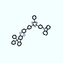 c1ccc(-c2nc(-c3ccc(-c4ccc5c(c4)Oc4cc6c(cc4O5)C(c4ccccc4)(c4ccccc4)c4ccccc4-6)cc3)nc(-c3ccc(-n4c5ccccc5c5ccccc54)cc3)n2)cc1